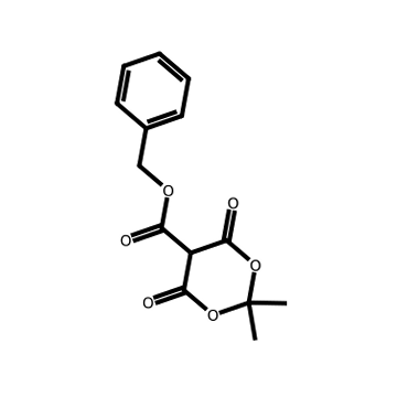 CC1(C)OC(=O)C(C(=O)OCc2ccccc2)C(=O)O1